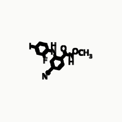 CONC(=O)c1ccc(C#N)cc1Nc1ccc(I)cc1F